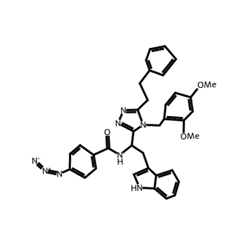 COc1ccc(Cn2c(CCc3ccccc3)nnc2C(Cc2c[nH]c3ccccc23)NC(=O)c2ccc(N=[N+]=[N-])cc2)c(OC)c1